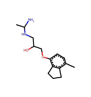 Cc1ccc(OCC(O)CNC(C)N)c2c1CCC2